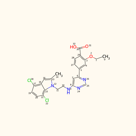 CCOc1cc(-c2cc(NCCn3c(C)cc4c(Cl)ccc(Cl)c43)ncn2)ccc1C(=O)O